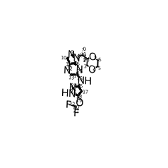 C[C@H]([C@@H]1COCCO1)n1ncc2ncc(Nc3cc(OC(F)F)[nH]n3)nc21